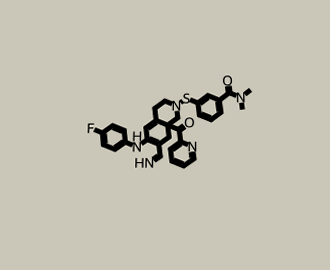 CN(C)C(=O)c1cccc(SN2CCC3=CC(Nc4ccc(F)cc4)=C(C=N)CC3(C(=O)c3ccccn3)C2)c1